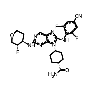 N#Cc1cc(F)c(Nc2nc3cnc(N[C@@H]4CCOC[C@H]4F)nc3n2[C@H]2CC[C@@H](C(N)=O)CC2)c(F)c1